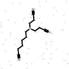 N#CCCCCCP(CCC#N)CCC#N